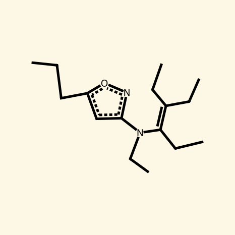 CCCc1cc(N(CC)C(CC)=C(CC)CC)no1